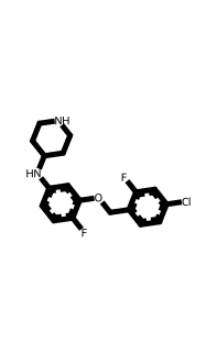 Fc1cc(Cl)ccc1COc1cc(NC2CCNCC2)ccc1F